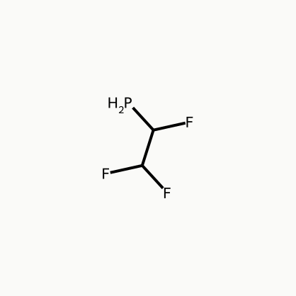 FC(F)C(F)P